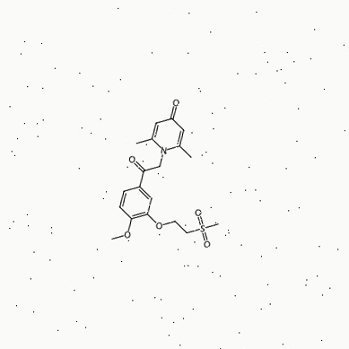 COc1ccc(C(=O)Cn2c(C)cc(=O)cc2C)cc1OCCS(C)(=O)=O